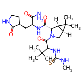 CNC(=S)NC(C(=O)N1C[C@H]2[C@@H]([C@H]1C(=O)NC(C[C@@H]1CCNC1=O)C(N)=O)C2(C)C)C(C)(C)C